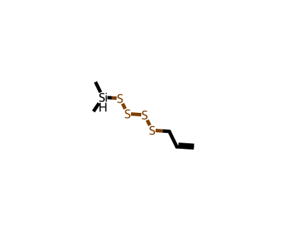 C=CCSSSS[SiH](C)C